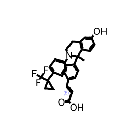 CC1(c2ccc(/C=C/C(=O)O)cc2)c2ccc(O)cc2CCN1c1ccc(C2(C(F)(F)F)CC2)cc1